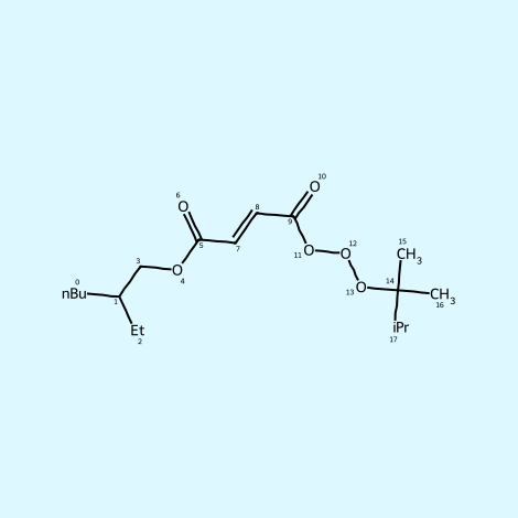 CCCCC(CC)COC(=O)C=CC(=O)OOOC(C)(C)C(C)C